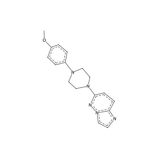 COc1ccc(N2CCN(c3ccc4nccn4n3)CC2)cc1